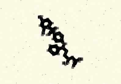 CN(CCC(Oc1ccc(S(=O)(=O)c2ccc(Cl)cc2Cl)cc1)c1ccccc1)CC(=O)O